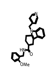 COc1ccccc1CNC(=O)C1CCc2c(c3ccccc3n2Cc2ccncc2)C1